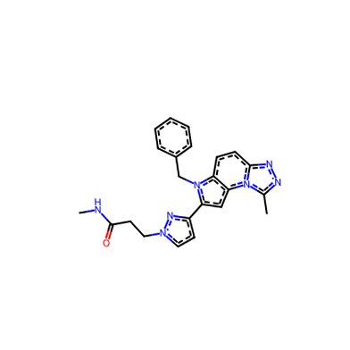 CNC(=O)CCn1ccc(-c2cc3c(ccc4nnc(C)n43)n2Cc2ccccc2)n1